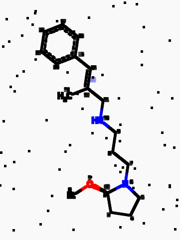 CCO[C@@H]1CCCN1CCCNC/C(C)=C/c1ccccc1